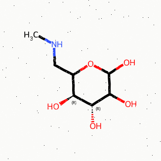 CNCC1OC(O)C(O)[C@H](O)[C@H]1O